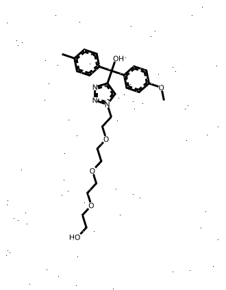 COc1ccc(C(O)(c2ccc(C)cc2)c2cn(CCOCCOCCOCCO)nn2)cc1